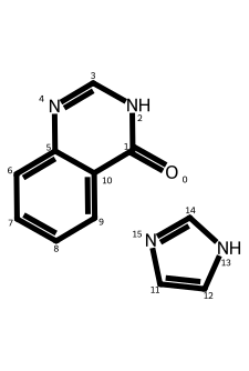 O=c1[nH]cnc2ccccc12.c1c[nH]cn1